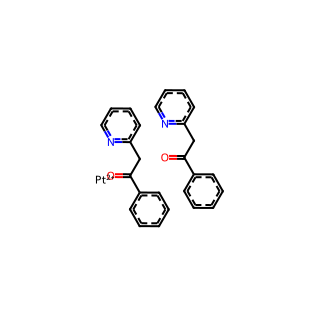 O=C(Cc1ccccn1)c1ccccc1.O=C(Cc1ccccn1)c1ccccc1.[Pt+2]